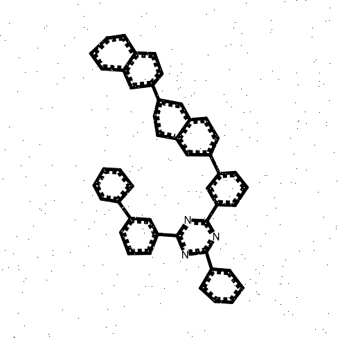 c1ccc(-c2cccc(-c3nc(-c4ccccc4)nc(-c4cccc(-c5ccc6cc(-c7ccc8ccccc8c7)ccc6c5)c4)n3)c2)cc1